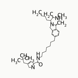 C=CCCC(C(=C)NC)N1Cc2cc(CCCCCCCNC(=O)C3=NCC(CC(C)(C)C)=C3)ccc2C1=C